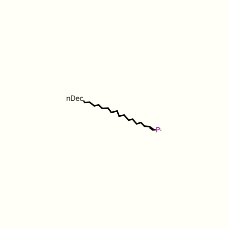 CCCCCCCCCCCCCCCCCCCCCCCCC/C=C/[P]